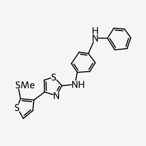 CSc1sccc1-c1csc(Nc2ccc(Nc3ccccc3)cc2)n1